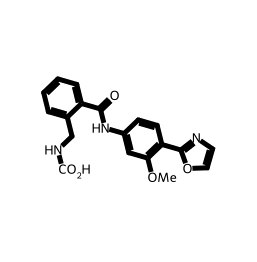 COc1cc(NC(=O)c2ccccc2CNC(=O)O)ccc1-c1ncco1